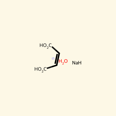 O.O=C(O)/C=C\C(=O)O.[NaH]